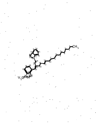 CCCCCCCCCCCCCCCC(=Cc1cccc2c1nnn2C)N=Cn1nnc2ccccc21